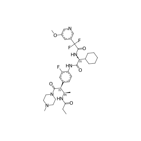 CCC(=O)N[C@H](C)[C@@H](C(=O)N1CCN(C)CC1)c1ccc(NC(=O)[C@@H](NC(=O)C(F)(F)c2cncc(OC)c2)C2CCCCC2)c(F)c1